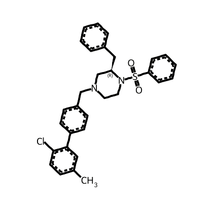 Cc1ccc(Cl)c(-c2ccc(CN3CCN(S(=O)(=O)c4ccccc4)[C@H](Cc4ccccc4)C3)cc2)c1